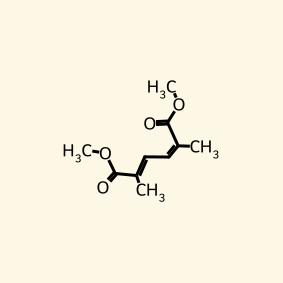 COC(=O)C(C)=CC=C(C)C(=O)OC